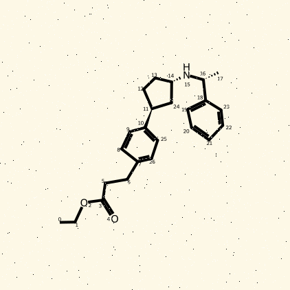 CCOC(=O)CCc1ccc([C@H]2CC[C@H](N[C@H](C)c3ccccc3)C2)cc1